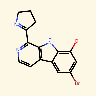 Oc1cc(Br)cc2c1[nH]c1c(C3=NCCC3)nccc12